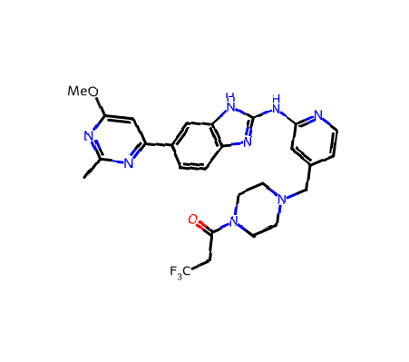 COc1cc(-c2ccc3nc(Nc4cc(CN5CCN(C(=O)CC(F)(F)F)CC5)ccn4)[nH]c3c2)nc(C)n1